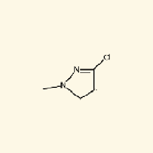 CN1C[CH]C(Cl)=N1